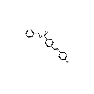 O=C(OCc1ccccc1)c1ccc(/C=N/c2ccc(F)cc2)cc1